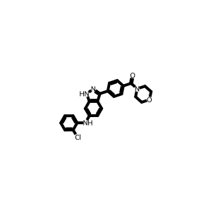 O=C(c1ccc(-c2n[nH]c3cc(Nc4ccccc4Cl)ccc23)cc1)N1CCOCC1